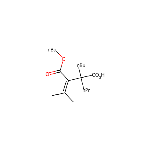 CCCCOC(=O)C(=C(C)C)C(CCC)(CCCC)C(=O)O